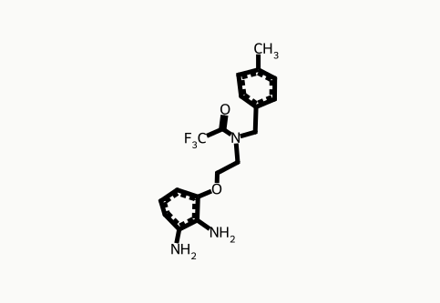 Cc1ccc(CN(CCOc2cccc(N)c2N)C(=O)C(F)(F)F)cc1